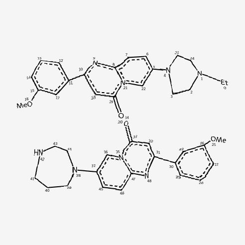 CCN1CCN(c2ccc3nc(-c4cccc(OC)c4)cc(=O)n3c2)CC1.COc1cccc(-c2cc(=O)n3cc(N4CCCNCC4)ccc3n2)c1